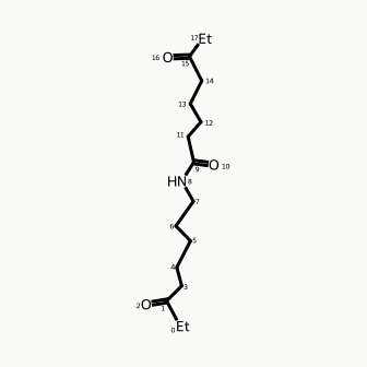 CCC(=O)CCCCCNC(=O)CCCCC(=O)CC